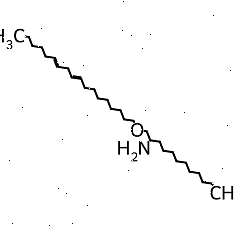 CCCCCC=CCC=CCCCCCCCCOC[C@H](N)CCCCCCCCCC